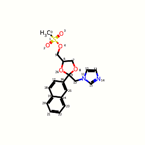 CS(=O)(=O)OCC1COC(Cn2ccnc2)(c2ccc3ccccc3c2)O1